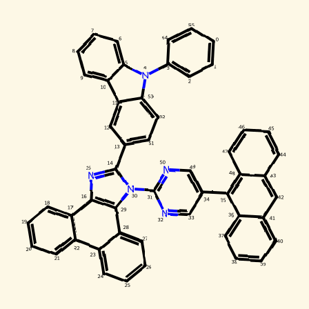 c1ccc(-n2c3ccccc3c3cc(-c4nc5c6ccccc6c6ccccc6c5n4-c4ncc(-c5c6ccccc6cc6ccccc56)cn4)ccc32)cc1